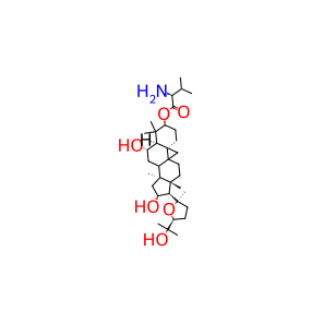 CC(C)[C@H](N)C(=O)O[C@H]1CC[C@]23CC24CC[C@]2(C)[C@@H]([C@@]5(C)CC[C@@H](C(C)(C)O)O5)[C@@H](O)C[C@@]2(C)C4C[C@H](O)[C@H]3C1(C)C